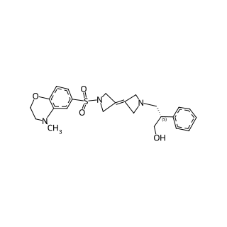 CN1CCOc2ccc(S(=O)(=O)N3CC(=C4CN(C[C@@H](CO)c5ccccc5)C4)C3)cc21